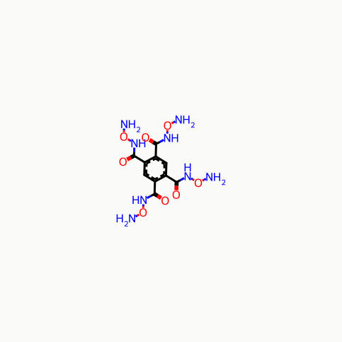 NONC(=O)c1cc(C(=O)NON)c(C(=O)NON)cc1C(=O)NON